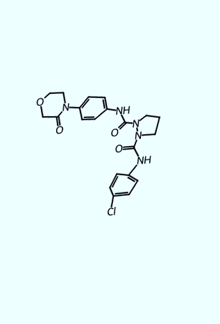 O=C1COCCN1c1ccc(NC(=O)N2CCCN2C(=O)Nc2ccc(Cl)cc2)cc1